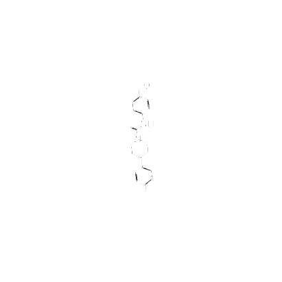 COc1ccc(NC(=O)N2CCC(c3ccc(O)cc3)CC2)cc1